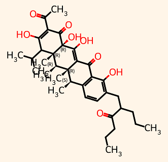 CCCC(=O)C(CCC)Cc1ccc2c(c1O)C(=O)C1=C(O)[C@@]3(O)C(=O)C(C(C)=O)=C(O)C(C(C)C)[C@@]3(C)[C@H](C)[C@@]1(C)[C@@H]2C